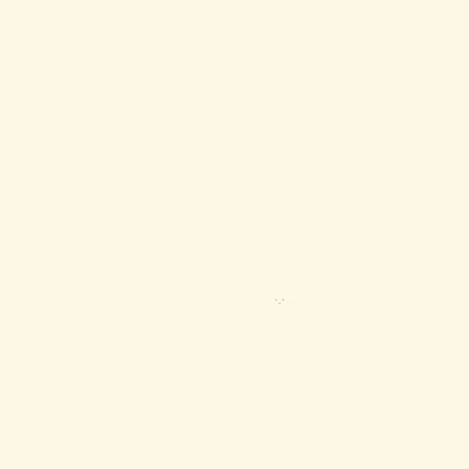 C#CC1=CCOP(=O)(OC)C1